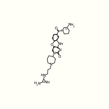 NC1NC1NCCCN1CCCC(n2cc3c(nc2=O)Nc2cc(C(=O)N4CCC[C@H](N)C4)ccc2O3)CC1